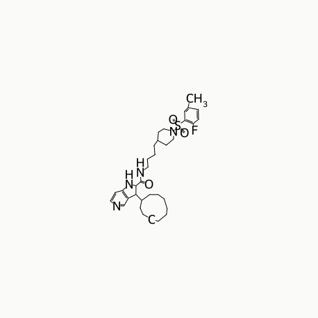 Cc1ccc(F)c(S(=O)(=O)N2CCC(CCCCNC(=O)C3Nc4ccncc4C3C3CCCCCCCCC3)CC2)c1